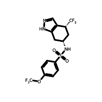 O=S(=O)(N[C@@H]1Cc2[nH]ncc2[C@H](C(F)(F)F)C1)c1ccc(OC(F)(F)F)cc1